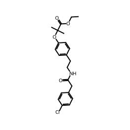 CCOC(=O)C(C)(C)Oc1ccc(CCNC(=O)Cc2ccc(Cl)cc2)cc1